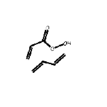 C=CC(=O)OO.C=CC=C